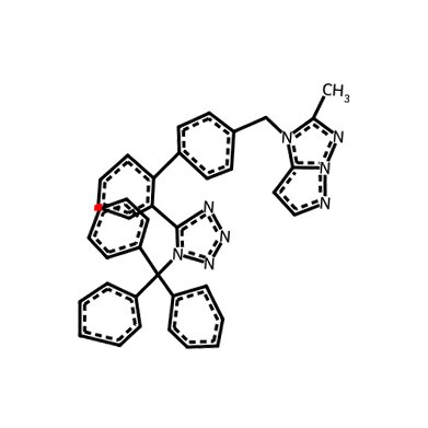 Cc1nn2nccc2n1Cc1ccc(-c2ccccc2-c2nnnn2C(c2ccccc2)(c2ccccc2)c2ccccc2)cc1